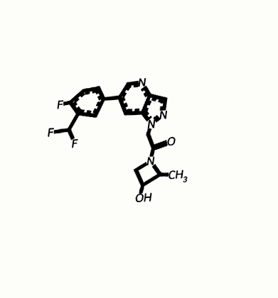 CC1C(O)CN1C(=O)Cn1ncc2ncc(-c3ccc(F)c(C(F)F)c3)cc21